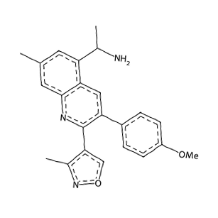 COc1ccc(-c2cc3c(C(C)N)cc(C)cc3nc2-c2conc2C)cc1